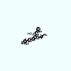 C=C(N[C@@H](Cc1ccc(-c2ncc(-c3ccc(OCCCCCCC)cc3)cn2)cc1)C(=O)NC(Cc1c[nH]c2ncccc12)C(=O)O)c1ccc(C(C)(C)C)s1